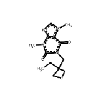 CCC1(Cn2c(=O)c3c(ncn3C)n(C)c2=O)COC1